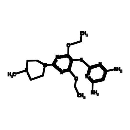 CCOc1nc(N2CCN(C)CC2)nc(OCC)c1Sc1nc(N)cc(N)n1